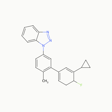 Cc1ccc(-n2nnc3ccccc32)cc1C1=CCC(F)C(C2CC2)=C1